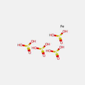 O=S(O)O.O=S(O)O.O=S(O)O.O=S(O)O.[Fe]